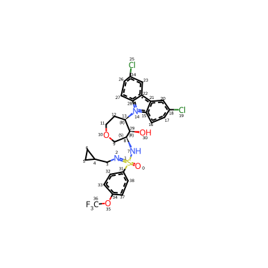 O=S(=NCC1CC1)(N[C@H]1COCC[C@@H](n2c3ccc(Cl)cc3c3cc(Cl)ccc32)[C@H]1O)c1ccc(OC(F)(F)F)cc1